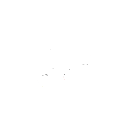 CCCCS(=O)(=O)NC1=C(C=C2C=C(SC(C)(C)C)OC(SC(C)(C)C)=C2)C(=O)/C1=C\c1cc(C(C)(C)C)[s+]c(C(C)(C)C)c1.[OH-]